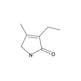 CCC1=C(C)C[N]C1=O